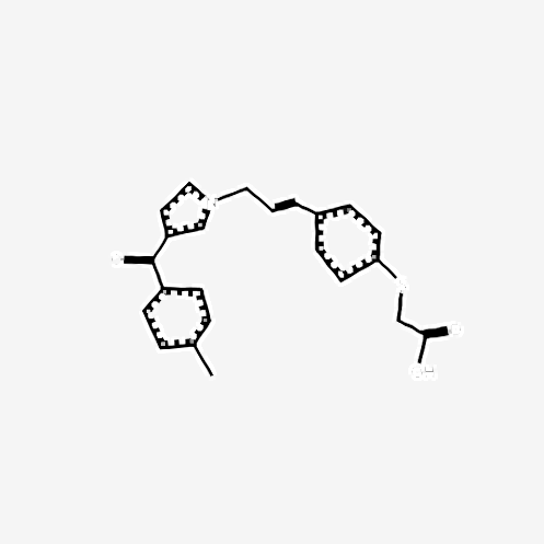 Cc1ccc(C(=O)c2ccn(C/C=C/c3ccc(SCC(=O)O)cc3)c2)cc1